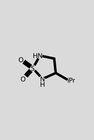 CC(C)C1CNS(=O)(=O)N1